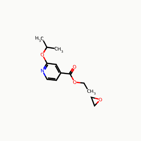 C1CO1.CCOC(=O)c1ccnc(OC(C)C)c1